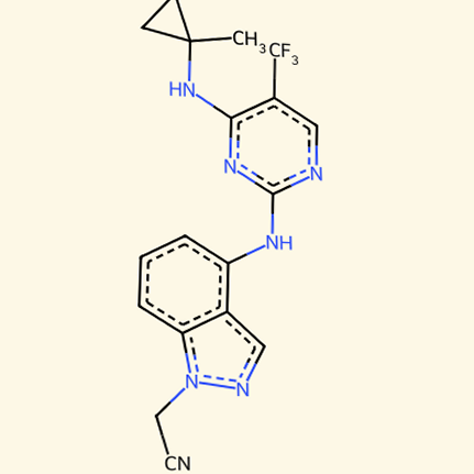 CC1(Nc2nc(Nc3cccc4c3cnn4CC#N)ncc2C(F)(F)F)CC1